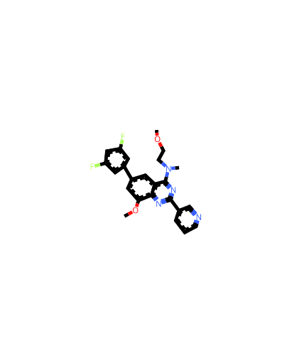 COCCN(C)c1nc(-c2cccnc2)nc2c(OC)cc(-c3cc(F)cc(F)c3)cc12